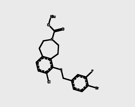 CC(C)(C)OC(=O)N1CCc2ccc(Cl)c(SCc3ccc(Br)c(F)c3)c2CC1